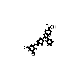 O=C(O)c1ccc2c(c1)nc(-c1ccc(OCc3cc(Cl)cc(Cl)c3)cc1)n2C1CCCCC1